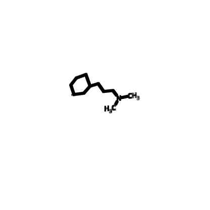 CN(C)CCCC1C[CH]CCC1